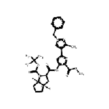 COC(=O)c1sc(-c2cn(Cc3ccccc3)nc2C)cc1NC(=O)C1C[C@@H]2CCC[C@@H]2N1C(=O)OC(C)(C)C